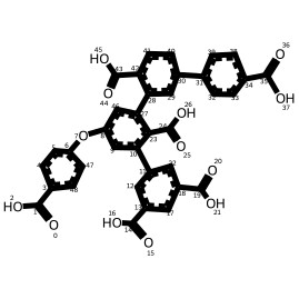 O=C(O)c1ccc(Oc2cc(-c3cc(C(=O)O)cc(C(=O)O)c3)c(C(=O)O)c(-c3cc(-c4ccc(C(=O)O)cc4)ccc3C(=O)O)c2)cc1